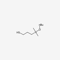 CCCCO[Si](C)(C)CCCS